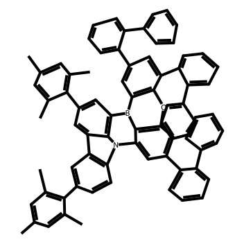 Cc1cc(C)c(-c2ccc3c(c2)c2cc(-c4c(C)cc(C)cc4C)cc4c2n3-c2cc(-c3ccccc3-c3ccccc3)cc3c2B4c2cc(-c4ccccc4-c4ccccc4)cc(-c4ccccc4-c4ccccc4)c2O3)c(C)c1